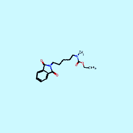 CCOC(=O)N(C)CCCCCN1C(=O)c2ccccc2C1=O